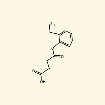 CCc1ccccc1OC(=O)CCC(=O)O